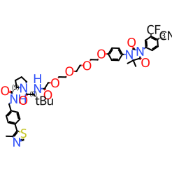 Cc1ncsc1-c1ccc(CNC(=O)[C@@H]2CCCN2C(=O)[C@@H](NC(=O)COCCOCCOCCOc2ccc(N3C(=O)N(c4ccc(C#N)c(C(F)(F)F)c4)C(=O)C3(C)C)cc2)C(C)(C)C)cc1